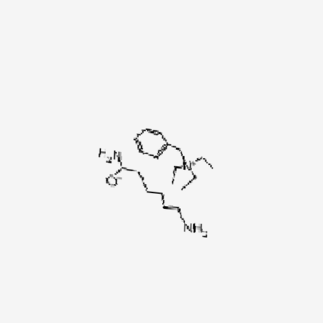 CC[N+](CC)(CC)Cc1ccccc1.NCCCCCC(N)[O-]